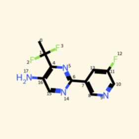 CC(F)(F)c1nc(-c2cncc(F)c2)ncc1N